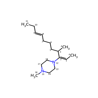 C/C=C(\C(C)CCC/C=C/CC)N1CCN(C)CC1